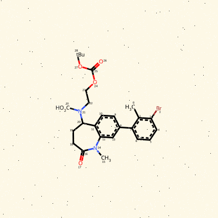 Cc1c(Br)cccc1-c1ccc2c(c1)N(C)C(=O)CCC2N(CCOC(=O)OC(C)(C)C)C(=O)O